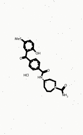 CSc1ccc(O)c(C(=O)c2ccc(C(=O)N[C@@H]3[CH]CN(C(N)=O)CCC3)cc2)c1.Cl